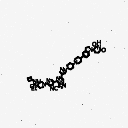 CCC1(C(=O)NC2CCC2)CCN(c2ccc(-c3nc(-c4cnn([C@H]5CC[C@H](N6CCC(c7ccc8c(c7)CCN8C7CCC(=O)NC7=O)CC6)CC5)c4)cn4ncc(C#N)c34)cn2)CC1